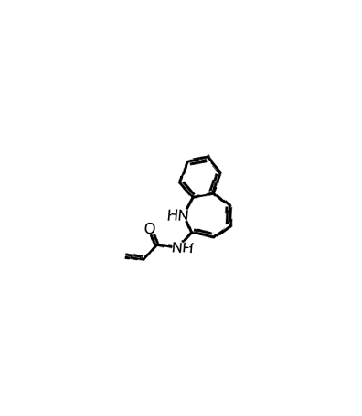 C=CC(=O)NC1=CC=Cc2ccccc2N1